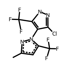 Cc1cc(C(F)(F)F)n(C2=C(C(F)(F)F)[N]N=C2Cl)n1